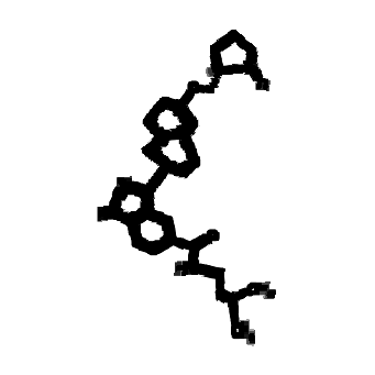 CCN1CCC[C@H]1COc1ccc2cc(-c3n[nH]c4ccc(C(=O)NCCN(C)C)cc34)ccc2c1